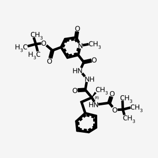 Cn1c(C(=O)NNC(=O)[C@@](C)(Cc2ccccc2)NC(=O)OC(C)(C)C)cc(C(=O)OC(C)(C)C)cc1=O